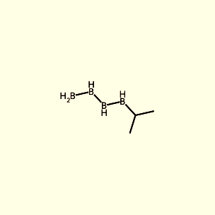 BBBBC(C)C